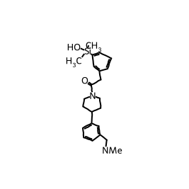 CNCc1cccc(C2CCN(C(=O)Cc3cccc([Si](C)(C)O)c3)CC2)c1